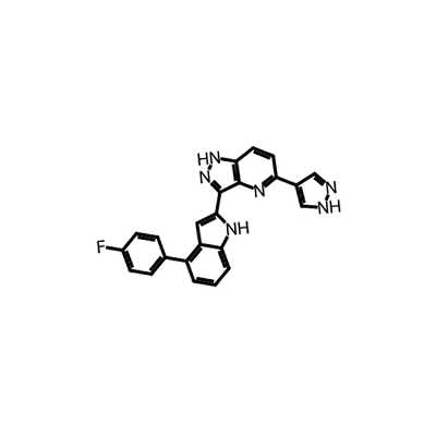 Fc1ccc(-c2cccc3[nH]c(-c4n[nH]c5ccc(-c6cn[nH]c6)nc45)cc23)cc1